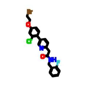 O=C(Cc1ccc(-c2ccc(OCCBr)cc2Cl)cn1)NCc1ccccc1F